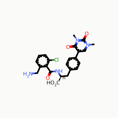 Cn1cc(-c2ccc(C[C@H](NC(=O)c3c(Cl)cccc3CN)C(=O)O)cc2)c(=O)n(C)c1=O